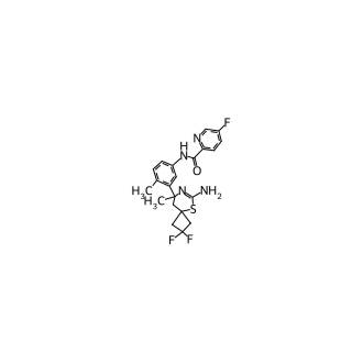 Cc1ccc(NC(=O)c2ccc(F)cn2)cc1C1(C)CC2(CC(F)(F)C2)SC(N)=N1